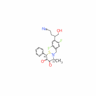 C[C@H]1C(=O)C(=O)[C@@H](c2ccccc2)SN1Cc1cc(F)c(C(CO)CCC#N)cc1F